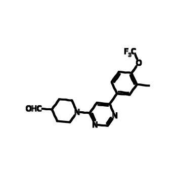 Cc1cc(-c2cc(N3CCC(C=O)CC3)ncn2)ccc1OC(F)(F)F